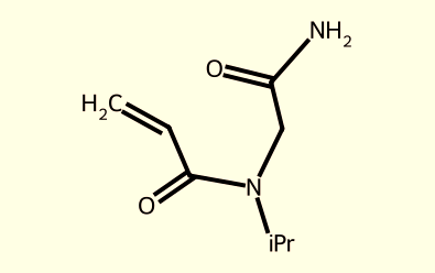 C=CC(=O)N(CC(N)=O)C(C)C